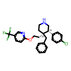 FC(F)(F)c1ccc(OCC[C@]2(Cc3ccccc3)CCNC[C@@H]2c2ccc(Cl)cc2)nc1